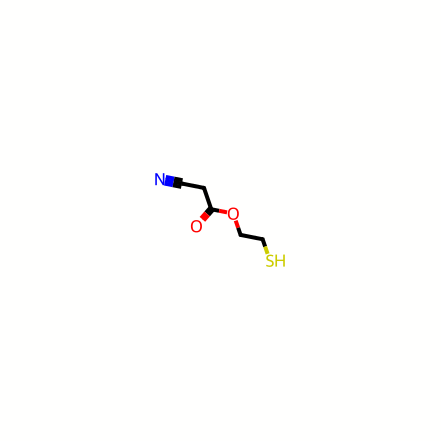 N#CCC(=O)OCCS